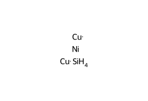 [Cu].[Cu].[Ni].[SiH4]